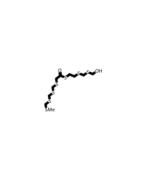 CSCSCSCSCC(=O)SCCSCSCO